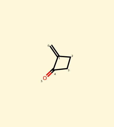 C=C1CCC1=O